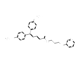 COc1ccc(C(=CC=CC(=O)NCCCOc2cccnc2)c2ccc(OC)cc2)cc1